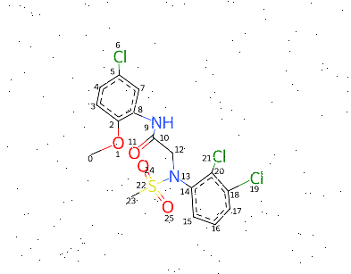 COc1ccc(Cl)cc1NC(=O)CN(c1cccc(Cl)c1Cl)S(C)(=O)=O